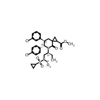 CC[C@@H](CN(C)S(=O)(=O)C1CC1)N1C(=O)C2(CC2C(=O)OC)C[C@H](c2cccc(Cl)c2)[C@H]1c1ccc(Cl)cc1